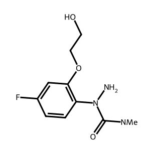 CNC(=O)N(N)c1ccc(F)cc1OCCO